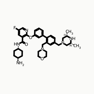 C[C@@H]1CN(Cc2ccc(-c3cccc(Oc4ncc(F)cc4C(=O)N[C@H]4CC[C@H](N)CC4)c3)c(CN3CCOCC3)c2)C[C@H](C)N1